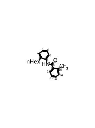 CCCCCCc1ccccc1NC(=O)c1ccccc1C(F)(F)F